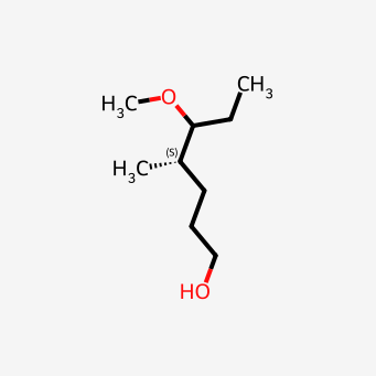 CCC(OC)[C@@H](C)CCCO